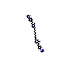 Cc1c[n+](CCCCCCCCCC[n+]2ccc(/C=C/c3ccc(N4CCCC4)cc3)c(C)c2)ccc1/C=C/c1ccc(N2CCCC2)cc1